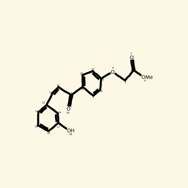 COC(=O)COc1ccc(C(=O)/C=C\c2cccc(O)c2)cc1